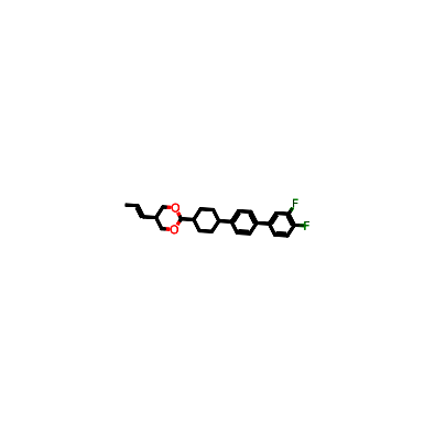 C/C=C/C1COC(C2CCC(c3ccc(-c4ccc(F)c(F)c4)cc3)CC2)OC1